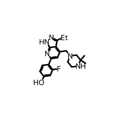 CCc1n[nH]c2nc(-c3ccc(O)cc3F)cc(CN3CCNC(C)(C)C3)c12